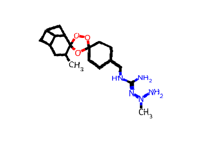 CC1CC2CC3CC(C23)C12OOC1(CCC(CN/C(N)=N/N(C)N)CC1)O2